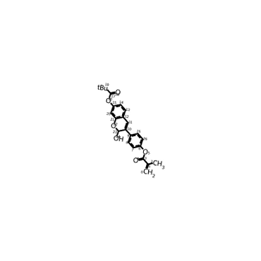 C=C(C)C(=O)Oc1ccc(C2=Cc3ccc(OC(=O)C(C)(C)C)cc3OC2O)cc1